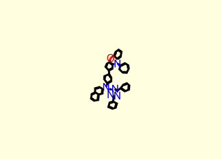 C1=CC=C(N2c3ccccc3Oc3ccc(-c4ccc(N(c5ccc6ccccc6c5)c5nc(-c6ccccc6)nc(-c6ccccc6)n5)cc4)cc32)CC=C1